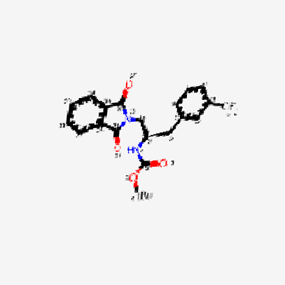 CC(C)(C)OC(=O)N[C@H](Cc1cccc(C(F)(F)F)c1)CN1C(=O)c2ccccc2C1=O